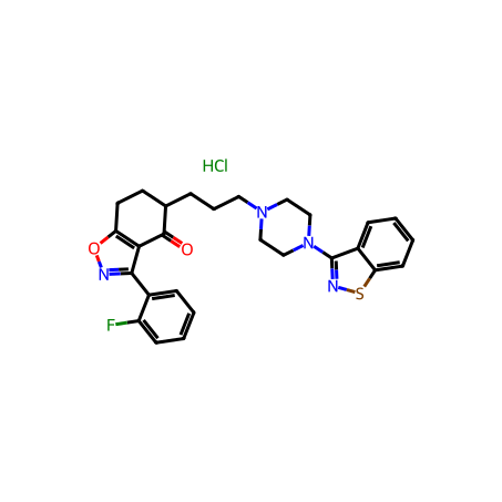 Cl.O=C1c2c(-c3ccccc3F)noc2CCC1CCCN1CCN(c2nsc3ccccc23)CC1